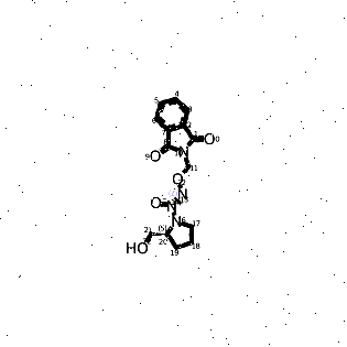 O=C1c2ccccc2C(=O)N1CO/N=[N+](\[O-])N1CCC[C@H]1CO